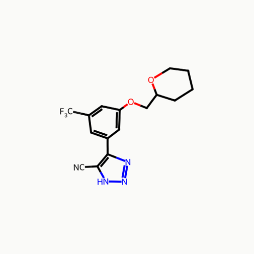 N#Cc1[nH]nnc1-c1cc(OCC2CCCCO2)cc(C(F)(F)F)c1